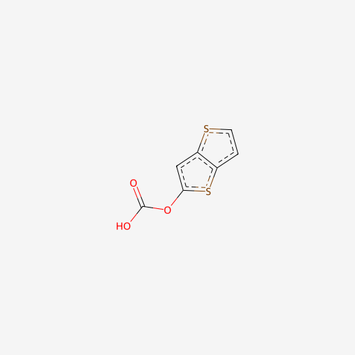 O=C(O)Oc1cc2sccc2s1